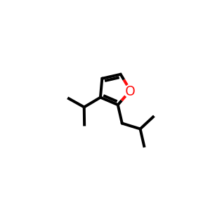 CC(C)Cc1occc1C(C)C